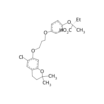 CC[C@@](C)(Oc1ccc(OCCCOc2cc3c(cc2Cl)CCC(C)(C)O3)cc1)C(=O)O